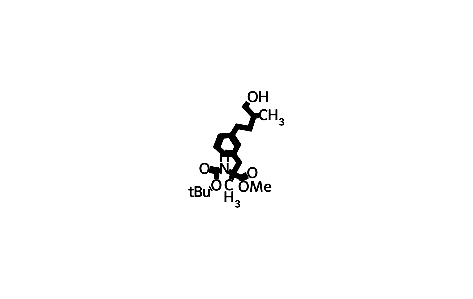 COC(=O)C(C)(Cc1cccc(CCC(C)CO)c1)NC(=O)OC(C)(C)C